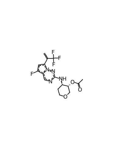 C=C(c1cc(F)c2cnc(N[C@@H]3CCOC[C@H]3OC(C)=O)nn12)C(F)(F)F